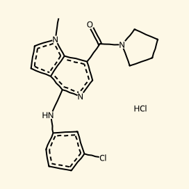 Cl.Cn1ccc2c(Nc3cccc(Cl)c3)ncc(C(=O)N3CCCC3)c21